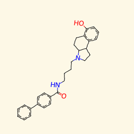 O=C(NCCCCN1CCC2c3cccc(O)c3CCC21)c1ccc(-c2ccccc2)cc1